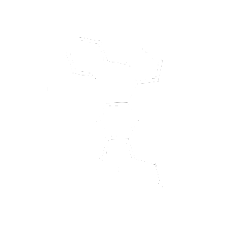 Cc1cccc(-n2ncc(C(C)C)c2-c2ccn3ncc(C(N)=O)c3c2)n1